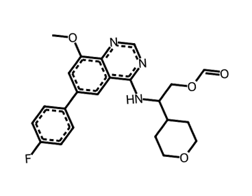 COc1cc(-c2ccc(F)cc2)cc2c(NC(COC=O)C3CCOCC3)ncnc12